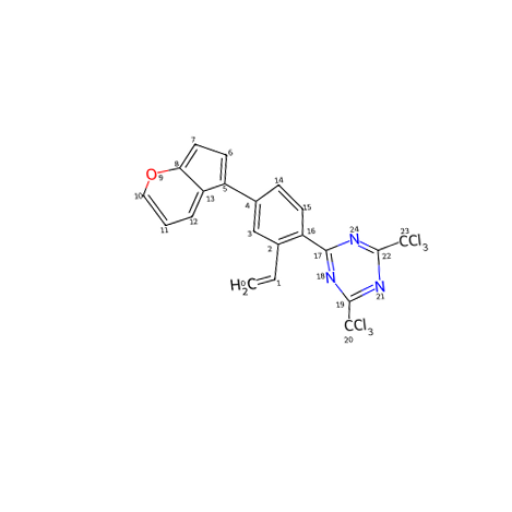 C=Cc1cc(-c2ccc3occcc2-3)ccc1-c1nc(C(Cl)(Cl)Cl)nc(C(Cl)(Cl)Cl)n1